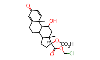 CC12C=CC(=O)C=C1CCC1C2C(O)CC2(C)C1CC[C@@]2(OC(=O)O)C(=O)OCCl